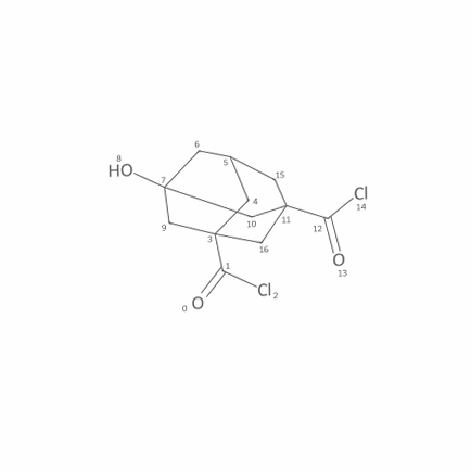 O=C(Cl)C12CC3CC(O)(C1)CC(C(=O)Cl)(C3)C2